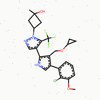 COc1cccc(-c2c[nH]c(-c3cnn(C4CC(C)(O)C4)c3C(F)(F)F)c2COC2CC2)c1Cl